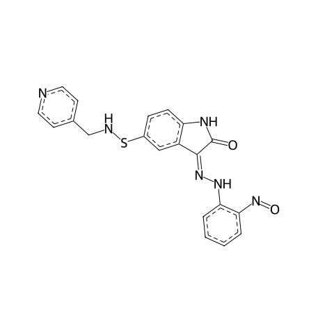 O=Nc1ccccc1N/N=C1\C(=O)Nc2ccc(SNCc3ccncc3)cc21